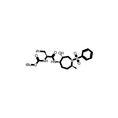 CC(C)C[C@H](NC(=O)OC(C)(C)C)C(=O)N[C@@H]1CC[C@H](C)N(S(=O)(=O)c2ccccc2)C[C@H]1O